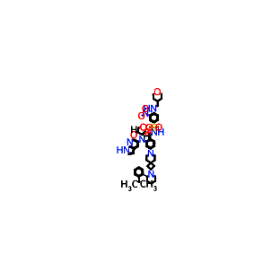 CC(C)c1ccccc1[C@@H]1CCCCN1C1CC2(CCN(c3ccc(C(=O)NS(=O)(=O)c4ccc(NCC5CCOCC5)c([N+](=O)[O-])c4)c(N4c5cc6cc[nH]c6nc5O[C@@H]5COC[C@H]54)c3)CC2)C1